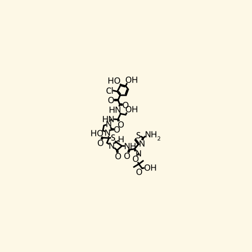 CC(C)(O/N=C(\C(=O)NC1C(=O)N2C[C@@](C(=O)O)(N3CCN(NC(=O)C(CO)NC(=O)C(=O)c4ccc(O)c(O)c4Cl)C3=O)S[C@H]12)c1csc(N)n1)C(=O)O